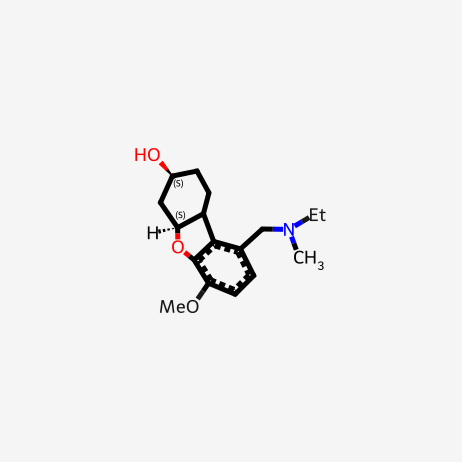 CCN(C)Cc1ccc(OC)c2c1C1CC[C@H](O)C[C@@H]1O2